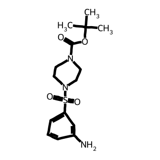 CC(C)(C)OC(=O)N1CCN(S(=O)(=O)c2cccc(N)c2)CC1